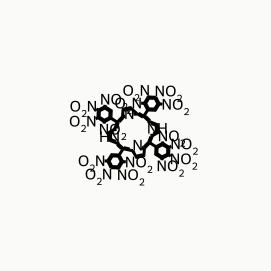 O=[N+]([O-])c1cc(-c2c3nc(c(-c4cc([N+](=O)[O-])c([N+](=O)[O-])c([N+](=O)[O-])c4[N+](=O)[O-])c4ccc([nH]4)c(-c4cc([N+](=O)[O-])c([N+](=O)[O-])c([N+](=O)[O-])c4[N+](=O)[O-])c4nc(c(-c5cc([N+](=O)[O-])c([N+](=O)[O-])c([N+](=O)[O-])c5[N+](=O)[O-])c5ccc2[nH]5)C=C4)C=C3)c([N+](=O)[O-])c([N+](=O)[O-])c1[N+](=O)[O-]